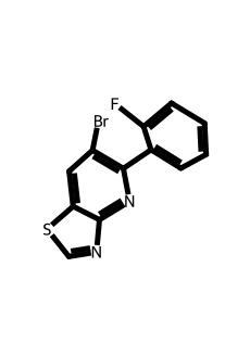 Fc1ccccc1-c1nc2ncsc2cc1Br